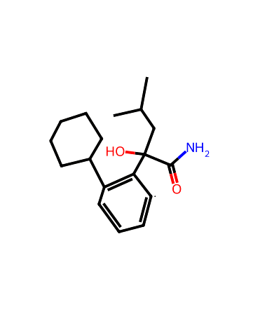 CC(C)CC(O)(C(N)=O)c1[c]cccc1C1CCCCC1